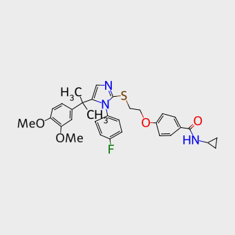 COc1ccc(C(C)(C)c2cnc(SCCOc3ccc(C(=O)NC4CC4)cc3)n2-c2ccc(F)cc2)cc1OC